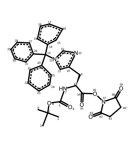 CC(C)(C)OC(=O)N[C@@H](Cc1cn(C(c2ccccc2)(c2ccccc2)c2ccccc2)cn1)C(=O)ON1C(=O)CCC1=O